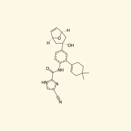 CC1(C)CC=C(c2cc([C@@]3(O)C[C@H]4C=C[C@@H](C3)O4)ccc2NC(=O)c2nc(C#N)c[nH]2)CC1